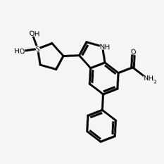 NC(=O)c1cc(-c2ccccc2)cc2c(C3CCS(O)(O)C3)c[nH]c12